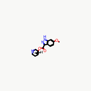 COc1ccc2c(C(=O)O[C@H]3CN4CCC3CC4)n[nH]c2c1